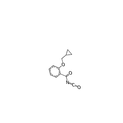 O=C=NC(=O)c1ccccc1OCC1CC1